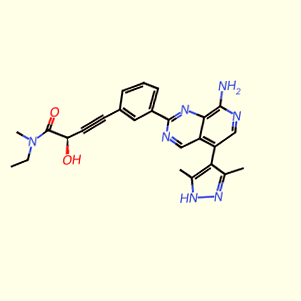 CCN(C)C(=O)[C@H](O)C#Cc1cccc(-c2ncc3c(-c4c(C)n[nH]c4C)cnc(N)c3n2)c1